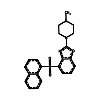 CN1CCN(c2nc3c(S(=O)(=O)c4cccc5ccccc45)cccc3o2)CC1